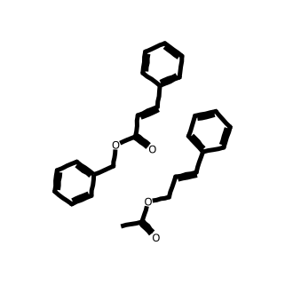 CC(=O)OCC=Cc1ccccc1.O=C(C=Cc1ccccc1)OCc1ccccc1